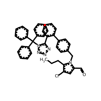 CCCc1c(Cl)cc(C=O)n1Cc1ccc(-c2ccccc2-c2nnnn2C(c2ccccc2)(c2ccccc2)c2ccccc2)cc1